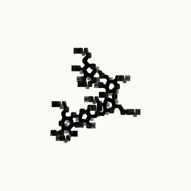 CO[C@H]1OC(COS(=O)(=O)O)[C@@H](O[C@H]2C[C@H](O)[C@H](COC[C@H]3OC(COS(=O)(=O)O)[C@@H](O[C@@H]4OC(C(=O)O)[C@@H](COC[C@H]5OC(COS(=O)(=O)O)[C@@H](O)C(O)[C@@H]5NS(=O)(=O)O)C(O)[C@@H]4O)C[C@@H]3NS(=O)(=O)O)C(C(=O)O)O2)C(O)[C@@H]1NS(=O)(=O)O